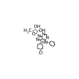 C[C@H]1O[C@@H](n2nc(-c3ccc(Cl)cc3)c3c(Nc4ccccc4)ncnc32)[C@@H](O)[C@H]1O